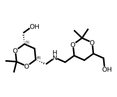 CC1(C)OC(CO)CC(CNC[C@H]2C[C@@H](CO)OC(C)(C)O2)O1